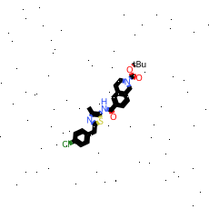 Cc1nc(Cc2ccc(Cl)cc2)sc1NC(=O)c1ccc2c(c1)CCN(C(=O)OC(C)(C)C)C2